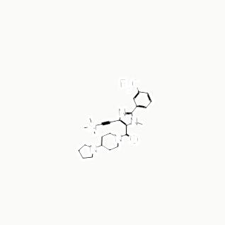 Cn1c(-c2cccc(C(F)(F)F)c2)nc(C#C[Si](C)(C)C)c1C(=O)N1CCC(N2CCCC2)CC1